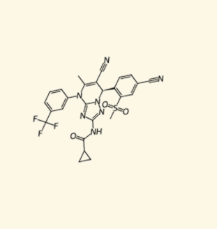 CC1=C(C#N)[C@@H](c2ccc(C#N)cc2S(C)(=O)=O)n2nc(NC(=O)C3CC3)nc2N1c1cccc(C(F)(F)F)c1